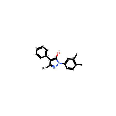 Cc1ccc(-n2nc(C(C)C)c(-c3ccccc3)c2O)cc1C